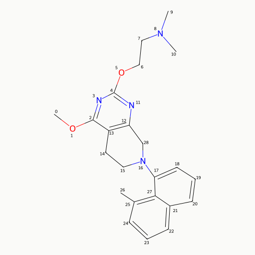 COc1nc(OCCN(C)C)nc2c1CCN(c1cccc3cccc(C)c13)C2